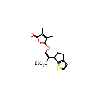 CCOC(=O)/C(=C/OC1OC(=O)C(C)=C1C)C1CCc2ccsc21